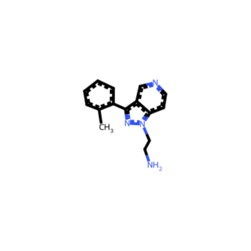 Cc1ccccc1-c1nn(CCN)c2ccncc12